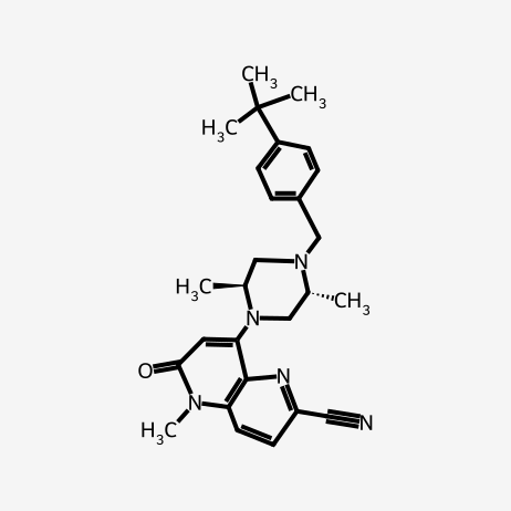 C[C@@H]1CN(c2cc(=O)n(C)c3ccc(C#N)nc23)[C@@H](C)CN1Cc1ccc(C(C)(C)C)cc1